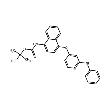 CC(C)(C)OC(=O)Nc1ccc(Oc2ccnc(Nc3ccccc3)c2)c2ccccc12